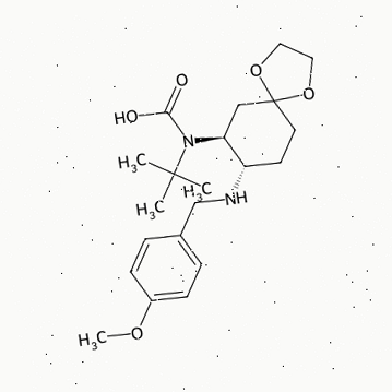 COc1ccc(CN[C@H]2CCC3(C[C@@H]2N(C(=O)O)C(C)(C)C)OCCO3)cc1